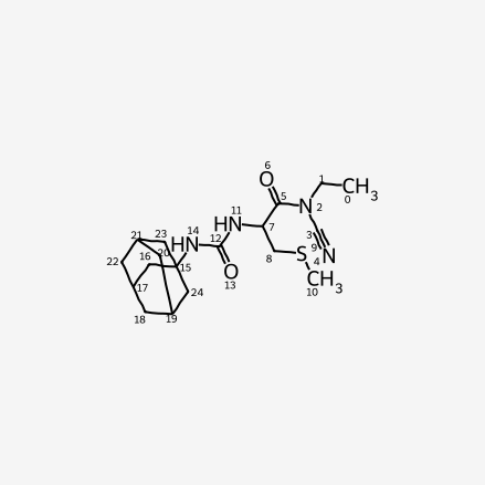 CCN(C#N)C(=O)C(CSC)NC(=O)NC12CC3CC(CC(C3)C1)C2